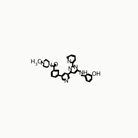 CN1CCN(C(=O)c2cccc(-c3cncc(-c4cc(NCc5cccc(O)c5)nc(-c5ccccn5)n4)c3)c2)CC1